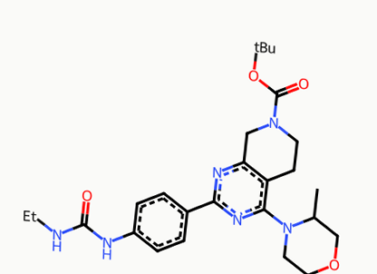 CCNC(=O)Nc1ccc(-c2nc3c(c(N4CCOCC4C)n2)CCN(C(=O)OC(C)(C)C)C3)cc1